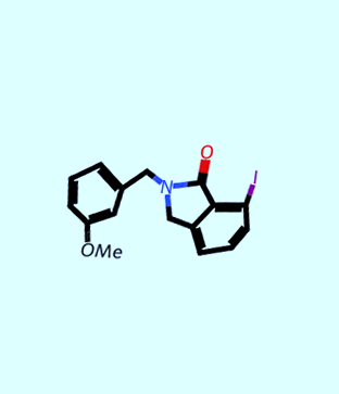 COc1cccc(CN2Cc3cccc(I)c3C2=O)c1